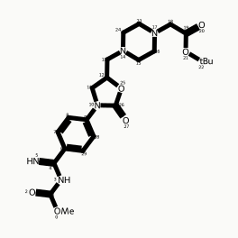 COC(=O)NC(=N)c1ccc(N2CC(CN3CCN(CC(=O)OC(C)(C)C)CC3)OC2=O)cc1